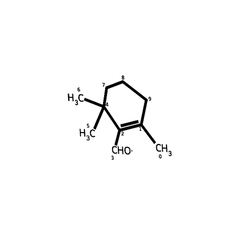 CC1=C([C]=O)C(C)(C)CCC1